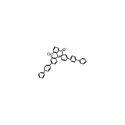 [O-][S+]1c2cc(C3=CCC(c4ccccc4)C=C3)ccc2N2c3ccc(-c4ccc(-c5ccccc5)cc4)cc3[S+]([O-])c3cccc1c32